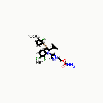 NC(=O)OCCn1cc(-n2c(C3CC3)c(Sc3cccc(C(=O)[O-])c3F)c3ccc(Cl)c(F)c32)cn1.[Na+]